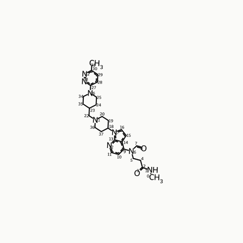 CNC(=O)CCN(C=O)c1ccnc2c1ccn2C1CCN(CC2CCN(c3ccc(C)nn3)CC2)CC1